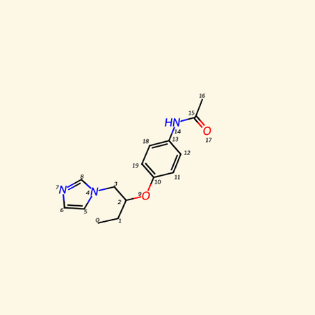 CCC(Cn1ccnc1)Oc1ccc(NC(C)=O)cc1